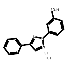 O=S(=O)(O)c1cccc(-n2ncc(-c3ccccc3)n2)c1.[KH].[KH]